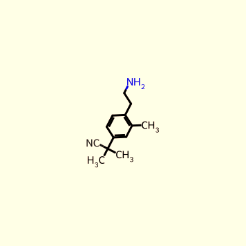 Cc1cc(C(C)(C)C#N)ccc1CCN